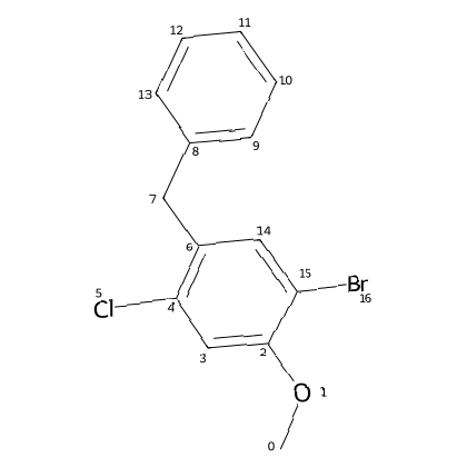 COc1cc(Cl)c(Cc2ccccc2)cc1Br